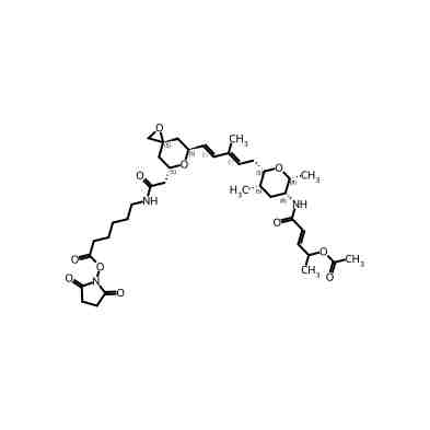 CC(=O)OC(C)C=CC(=O)N[C@@H]1C[C@H](C)[C@H](C/C=C(C)/C=C/[C@@H]2C[C@]3(CO3)C[C@@H](CC(=O)NCCCCCC(=O)ON3C(=O)CCC3=O)O2)O[C@@H]1C